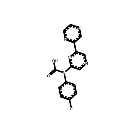 O=C(O)N(c1ccc(Cl)cc1)c1cncc(-c2cnccn2)n1